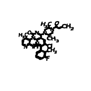 C=CC(=O)N1C[C@H](C)N(c2nc(=O)n(-c3c(C)ccnc3C(C)C)c3nc(-c4cccc(F)c4C)c(Cl)cc23)C[C@H]1C